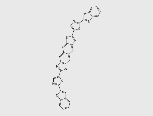 c1ccc2oc(-c3ncc(-c4nc5cc6cc7sc(-c8cnc(-c9nc%10ccccc%10o9)s8)nc7cc6cc5s4)s3)cc2c1